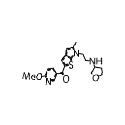 COc1ccc(C(=O)c2cc3cc(C)n(CCNC4CCOC4)c3s2)cn1